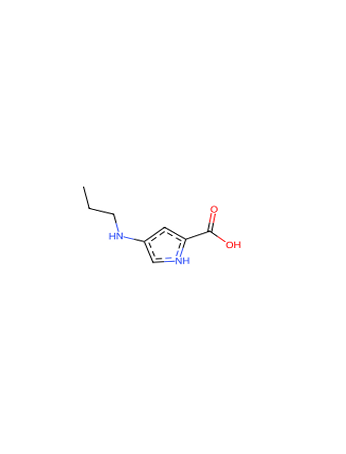 CCCNc1c[nH]c(C(=O)O)c1